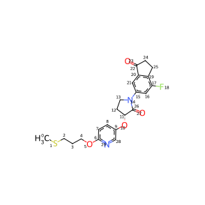 CSCCCOc1ccc(O[C@@H]2CCN(c3cc(F)c4c(c3)C(=O)CC4)C2=O)cn1